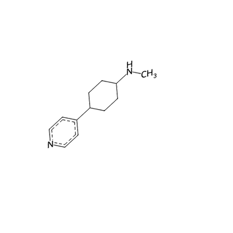 CNC1CCC(c2ccncc2)CC1